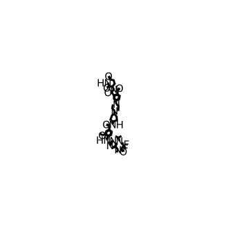 COc1cc(C(=O)NC2CCC(N3CCN(c4ccc5c(c4)C(=O)N(C4CCC(=O)NC4=O)C5=O)CC3)CC2)ccc1Nc1ncc2c(n1)N(C(C)C)CC(F)(F)C(=O)N2C